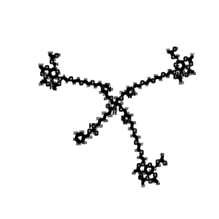 CC(=O)N[C@H]1[C@H](OCCOCCOCCOCCn2cc(COCC(COCc3cn(CCOCCOCCOCCO[C@@H]4O[C@H](COC(C)=O)[C@H](OC(C)=O)[C@H](OC(C)=O)[C@H]4NC(C)=O)nn3)(COCc3cn(CCOCCOCCOCCO[C@@H]4O[C@H](COC(C)=O)[C@H](OC(C)=O)[C@H](OC(C)=O)[C@H]4NC(C)=O)nn3)NC(=O)CCCCCNC(=O)OCc3ccccc3)nn2)O[C@H](COC(C)=O)[C@H](OC(C)=O)[C@@H]1OC(C)=O